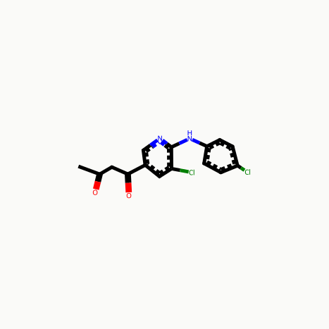 CC(=O)CC(=O)c1cnc(Nc2ccc(Cl)cc2)c(Cl)c1